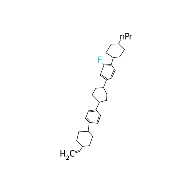 C=CC1CCC(c2ccc(C3CCC(c4ccc(C5CCC(CCC)CC5)c(F)c4)CC3)cc2)CC1